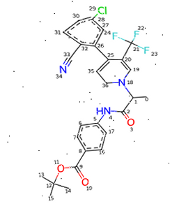 CC(C(=O)Nc1ccc(C(=O)OC(C)(C)C)cc1)N1C=C(C(F)(F)F)C(c2cc(Cl)ccc2C#N)=CC1